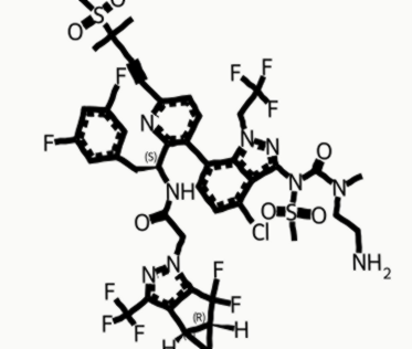 CN(CCN)C(=O)N(c1nn(CC(F)(F)F)c2c(-c3ccc(C#CC(C)(C)S(C)(=O)=O)nc3[C@H](Cc3cc(F)cc(F)c3)NC(=O)Cn3nc(C(F)(F)F)c4c3C(F)(F)[C@@H]3C[C@H]43)ccc(Cl)c12)S(C)(=O)=O